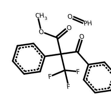 COC(=O)C(C(=O)c1ccccc1)(c1ccccc1)C(F)(F)F.O=P